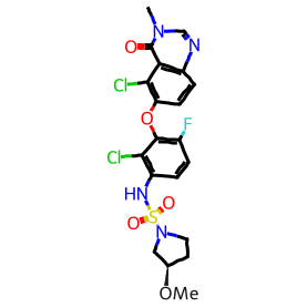 CO[C@@H]1CCN(S(=O)(=O)Nc2ccc(F)c(Oc3ccc4ncn(C)c(=O)c4c3Cl)c2Cl)C1